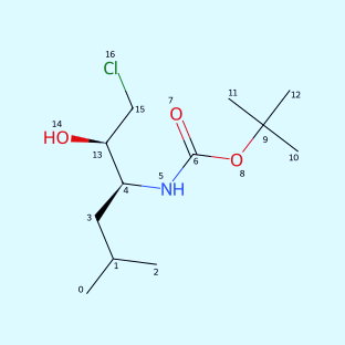 CC(C)C[C@H](NC(=O)OC(C)(C)C)[C@@H](O)CCl